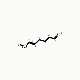 CO/C=C/CCCC=O